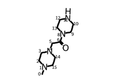 CN1CCN(CC(=O)N2CCNCC2)CC1